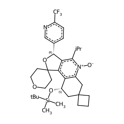 CC(C)c1c2c(c3c([n+]1[O-])CC1(CCC1)C[C@@H]3O[Si](C)(C)C(C)(C)C)C1(CCOCC1)O[C@@H]2c1ccc(C(F)(F)F)nc1